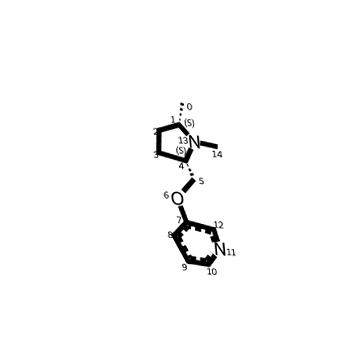 C[C@H]1CC[C@@H](COc2cccnc2)N1C